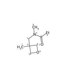 CCC(=O)N(C)CC1(C)COC1